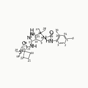 Cc1ccc(NC(=O)N2Cc3c(NC(=O)C4(S(C)(C)C)CCC4)n[nH]c3C2(C)C)c(C)c1